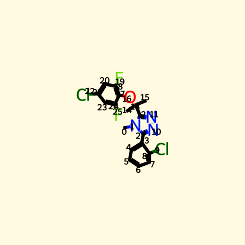 Cn1c(-c2ccccc2Cl)nnc1C(C)(C)Oc1c(F)cc(Cl)cc1F